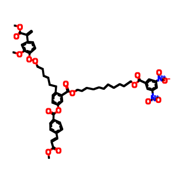 C=C(C(=O)OC)c1ccc(OOCCCCCCc2ccc(OC(=O)c3ccc(/C=C/C(=O)OC)cc3)cc2C(=O)OCCCCCCCCCCCOC(=O)c2cc([N+](=O)[O-])cc([N+](=O)[O-])c2)c(OC)c1